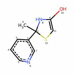 CC1(c2cccnc2)NC(O)=CS1